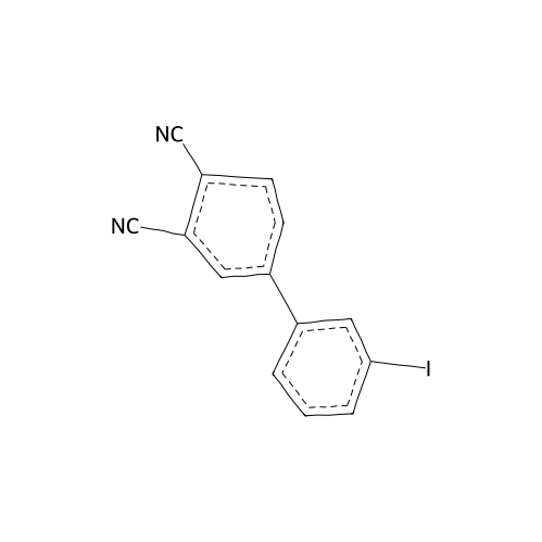 N#Cc1ccc(-c2cccc(I)c2)cc1C#N